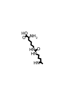 CC(=N)CCCNC(=O)NCCCC[C@H](N)C(=O)O